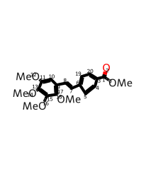 COC(=O)c1ccc(C=Cc2cc(OC)c(OC)c(OC)c2OC)cc1